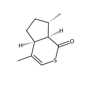 CC1=CSC(=O)[C@H]2[C@@H]1CC[C@@H]2C